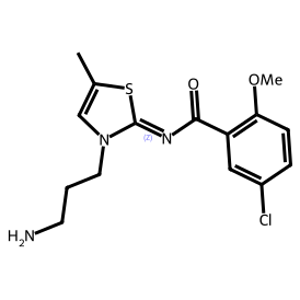 COc1ccc(Cl)cc1C(=O)/N=c1\sc(C)cn1CCCN